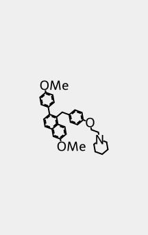 COc1ccc(-c2ccc3cc(OC)ccc3c2Cc2ccc(OCCN3CCCCC3)cc2)cc1